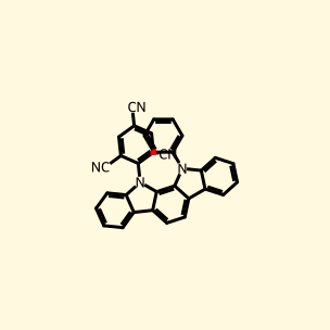 N#Cc1cc(C#N)c(-n2c3ccccc3c3ccc4c5ccccc5n(-c5ccccc5)c4c32)c(C#N)c1